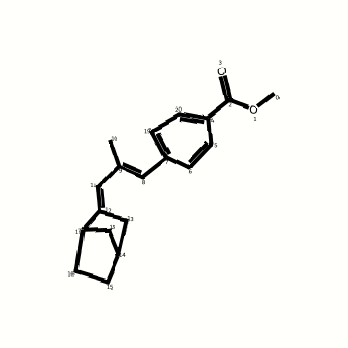 COC(=O)c1ccc(C=C(C)C=C2CC3CCC2C3)cc1